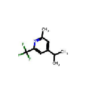 Cc1cc(C(C)C)cc(C(F)(F)F)n1